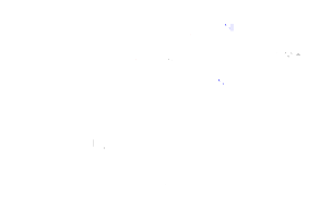 C=Cc1cc(-c2ccccc2C)oc(=O)c1/N=C(\N)SC